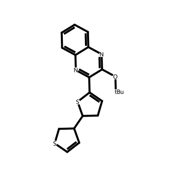 CC(C)(C)Oc1nc2ccccc2nc1C1=CCC(C2C=CSC2)S1